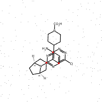 Nc1nnc(Cl)cc1N1C[C@H]2CC[C@@H](C1)N2c1nccc(C2CCN(C(=O)O)CC2)n1